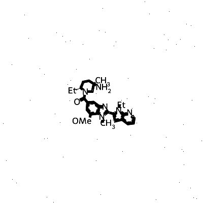 CC[C@@H]1CC[C@](C)(N)CN1C(=O)c1cc(OC)c2c(c1)nc(-c1cc3cccnc3n1CC)n2C